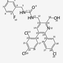 O=C(NCc1ccccc1F)NCc1cc(-c2ccc(Cl)cc2Cl)c(-c2ccc(Cl)cc2)nc1CO